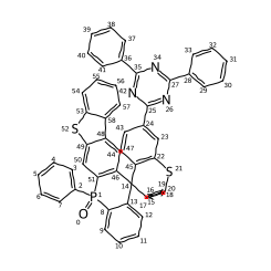 O=P1(c2ccccc2)c2ccccc2C2(c3ccccc3Sc3cc(-c4nc(-c5ccccc5)nc(-c5ccccc5)n4)ccc32)c2cc3c(cc21)sc1ccccc13